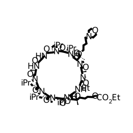 CCOC(=O)OCCCC[C@@H](C)[C@H]1ON2C(=O)[C@H](C(C)C)N(C)C(=O)[C@H](CC(C)C)N(C)C(=O)[C@H](CC(C)C)N(C)C(=O)[C@@H](C)NC(=O)[C@H](C)NC(=O)[C@H](CC(C)C)N(C)C(=O)[C@H](C(C)C)NC(=O)[C@H]([C@@H](C)OCCCCN3CCOCC3)N(C)C(=O)[C@@H](C)N(C)C(=O)[C@H](CC)NC(=O)[C@H]12